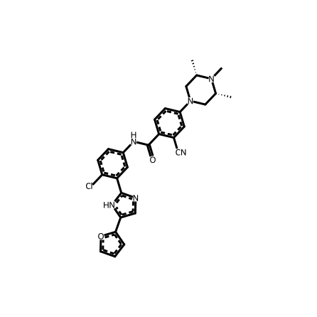 C[C@@H]1CN(c2ccc(C(=O)Nc3ccc(Cl)c(-c4ncc(-c5ccco5)[nH]4)c3)c(C#N)c2)C[C@H](C)N1C